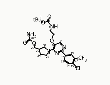 CC(C)(C)OC(=O)NCCOc1cnc(-c2ccc(Cl)c(C(F)(F)F)c2)nc1N1CCC(COC(N)=O)C1